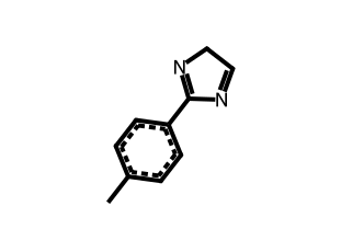 Cc1ccc(C2=NCC=N2)cc1